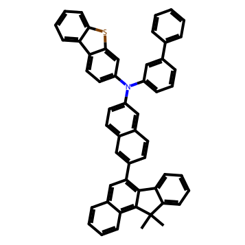 CC1(C)c2ccccc2-c2c(-c3ccc4cc(N(c5cccc(-c6ccccc6)c5)c5ccc6c(c5)sc5ccccc56)ccc4c3)cc3ccccc3c21